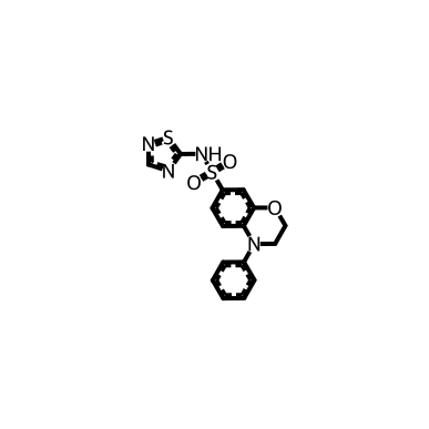 O=S(=O)(Nc1ncns1)c1ccc2c(c1)OCCN2c1ccccc1